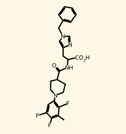 Cc1c(F)c(F)cc(N2CCC(C(=O)NC(Cc3cn(Cc4ccccc4)cn3)C(=O)O)CC2)c1F